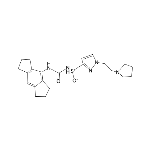 O=C(Nc1c2c(cc3c1CCC3)CCC2)N[S+]([O-])c1ccn(CCN2CCCC2)n1